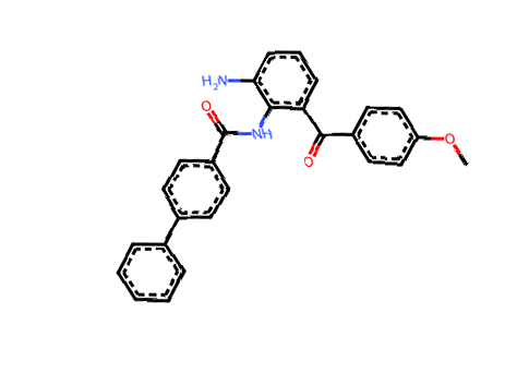 COc1ccc(C(=O)c2cccc(N)c2NC(=O)c2ccc(-c3ccccc3)cc2)cc1